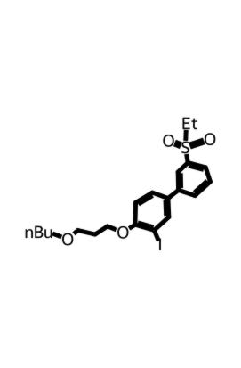 CCCCOCCCOc1ccc(-c2cccc(S(=O)(=O)CC)c2)cc1I